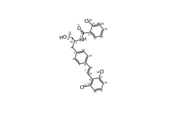 O=C(N[C@@H](Cc1ccc(/C=C/c2c(Cl)cccc2Cl)cc1)C(=O)O)c1cccnc1Cl